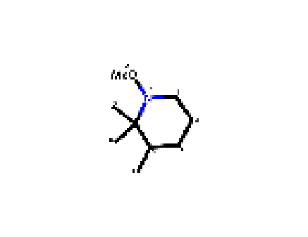 CON1CCCC(C)C1(C)C